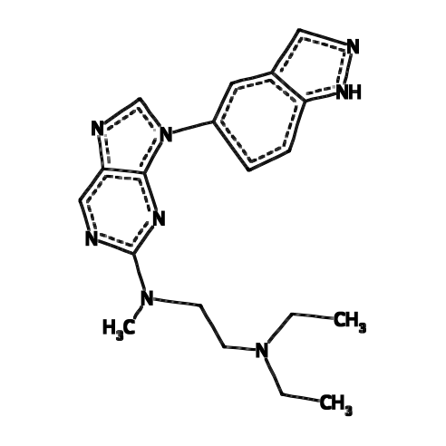 CCN(CC)CCN(C)c1ncc2ncn(-c3ccc4[nH]ncc4c3)c2n1